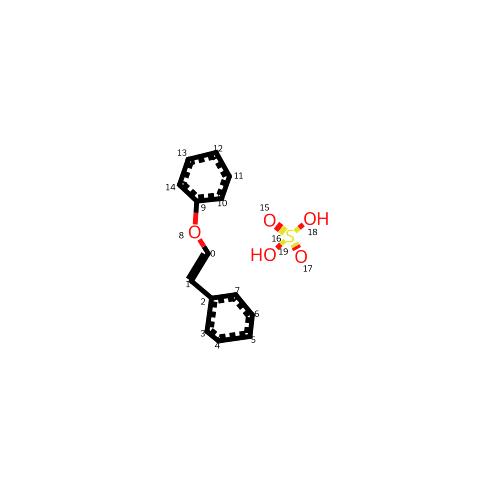 C(=Cc1ccccc1)Oc1ccccc1.O=S(=O)(O)O